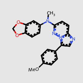 COc1ccc(-c2cnc3ccc(N(C)c4ccc5c(c4)OCO5)nn23)cc1